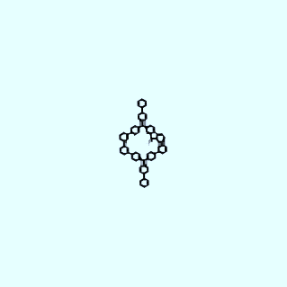 CC1(C)c2ccccc2-c2ccc(N(c3ccc(-c4ccccc4)cc3)c3ccc(-c4cccc(-c5cccc(-c6ccc(N(c7ccc(-c8ccccc8)cc7)c7ccc(-c8ccccc8)cc7)cc6)c5)c4)cc3)cc21